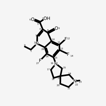 CCn1cc(C(=O)O)c(=O)c2c(F)c(F)c(N3CCC4(CCN(C)C4)C3)c(F)c21